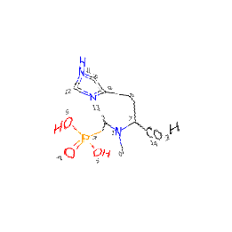 CN(CP(=O)(O)O)C(Cc1c[nH]cn1)C(=O)O